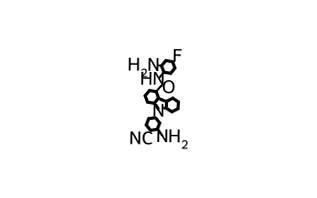 N#Cc1ccc(-n2c3ccccc3c3c(C(=O)Nc4ccc(F)cc4N)cccc32)cc1N